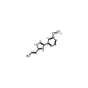 CC(=O)/C=C/c1nc(-c2cccc(OC(F)(F)F)c2)cs1